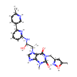 Cc1cc(Cn2c(=O)c3c(ncn3[C@@H](C)C(O)Nc3cccc(-c4ccc(C(F)(F)F)nc4)n3)n(C)c2=O)no1